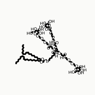 CCCCC/C=C\C/C=C\CCCCCCCCC1(CCCCCCCC/C=C\C/C=C\CCCCC)OC[C@H](CN(C)CCCCCC(=O)NC(COCCC(=O)NCCOCCOCCO[C@@H]2OC(CO)[C@@H](O)C(O)C2O)(COCCC(=O)NCCOCCOCCO[C@@H]2O[C@@H](CO)[C@@H](O)C(O)C2O)COCCC(=O)NCCOCCOCCO[C@@H]2O[C@H](CO)[C@@H](O)C(O)C2O)O1